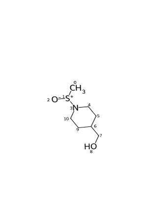 C[S+]([O-])N1CCC(CO)CC1